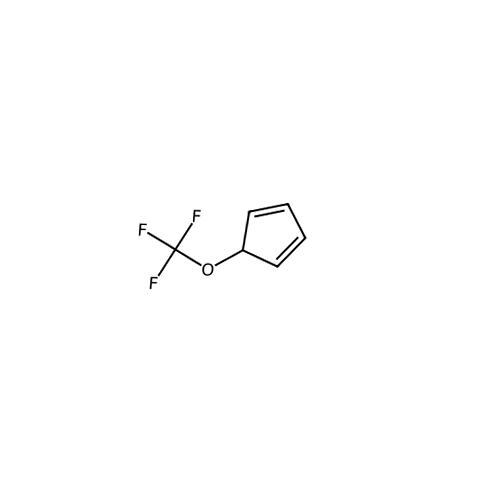 FC(F)(F)OC1C=CC=C1